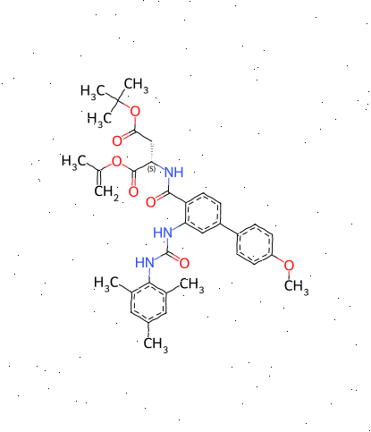 C=C(C)OC(=O)[C@H](CC(=O)OC(C)(C)C)NC(=O)c1ccc(-c2ccc(OC)cc2)cc1NC(=O)Nc1c(C)cc(C)cc1C